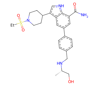 CCS(=O)(=O)N1CCC(c2c[nH]c3c(C(N)=O)cc(-c4ccc(CN[C@@H](C)CO)cc4)cc23)CC1